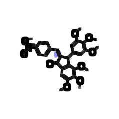 COc1cc(C2/C(=C/c3ccc([N+](=O)[O-])cc3)C(=O)c3cc(OC)c(OC)c(OC)c32)cc(OC)c1OC